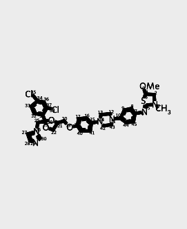 COC1CN(C)/C(=N/c2ccc(N3CCN(c4ccc(OCC5COC(Cn6ccnc6)(c6ccc(Cl)cc6Cl)O5)cc4)CC3)cc2)S1